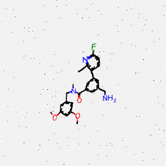 COc1cc(CN(C)C(=O)c2cc(CN)cc(-c3ccc(F)nc3C)c2)cc(OC)c1